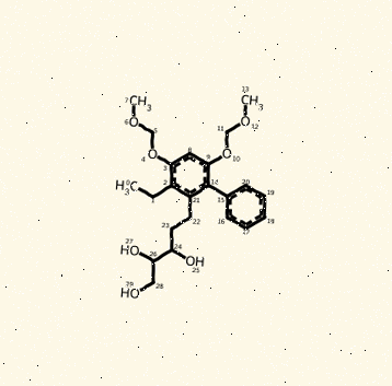 CCc1c(OCOC)cc(OCOC)c(-c2ccccc2)c1CCC(O)C(O)CO